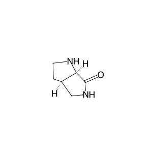 O=C1NC[C@H]2CCN[C@@H]12